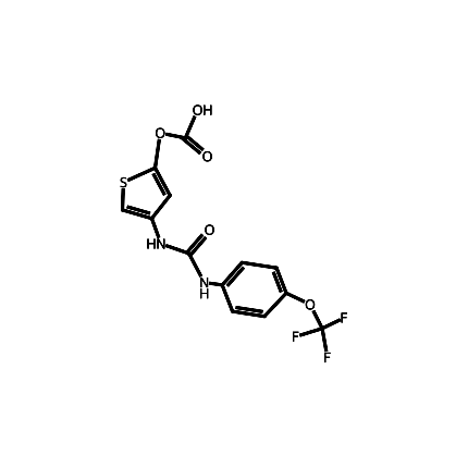 O=C(Nc1ccc(OC(F)(F)F)cc1)Nc1csc(OC(=O)O)c1